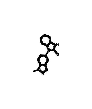 Cn1ncc2cc(-n3c(=O)[nH]c4ccccc43)ccc21